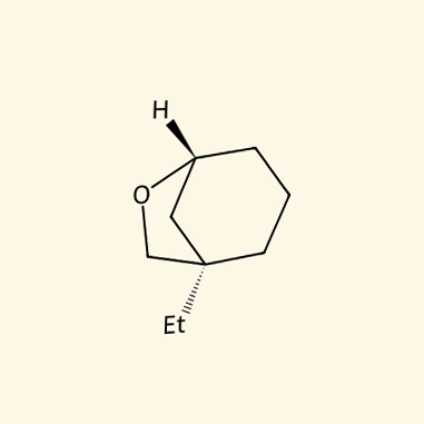 CC[C@@]12CCC[C@H](C1)OC2